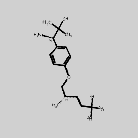 [2H]C([2H])([2H])CC[C@H](C)COc1ccc([C@@H](N)C(C)(C)O)cc1